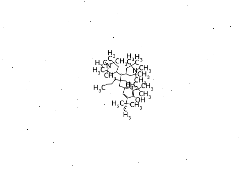 CCCCC(CC)(Cc1cc(C(C)(C)C)c(O)c(C(C)(C)C)c1)[C](C1CC(C)(C)N(C)C(C)(C)C1)C1CC(C)(C)N(C)C(C)(C)C1